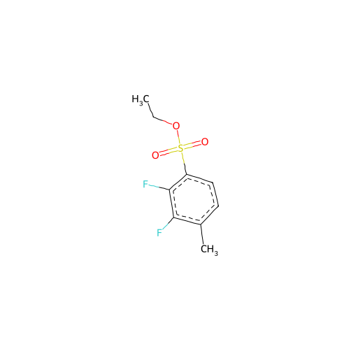 CCOS(=O)(=O)c1ccc(C)c(F)c1F